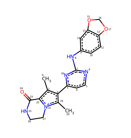 Cc1c(-c2ccnc(Nc3ccc4c(c3)OCO4)n2)c(C)n2c1C(=O)NCC2